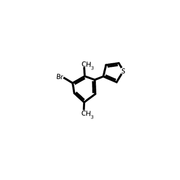 Cc1cc(Br)c(C)c(-c2ccsc2)c1